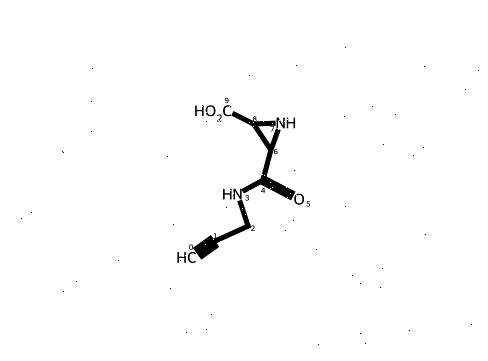 C#CCNC(=O)C1NC1C(=O)O